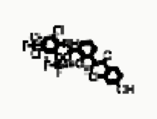 CCN(C(=O)c1ccc(O)cc1Cl)c1cccc(C(=O)Nc2c(Cl)cc(C(F)(C(F)(F)F)C(F)(F)F)cc2OC(F)F)c1OC